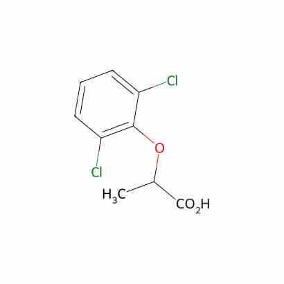 CC(Oc1c(Cl)cccc1Cl)C(=O)O